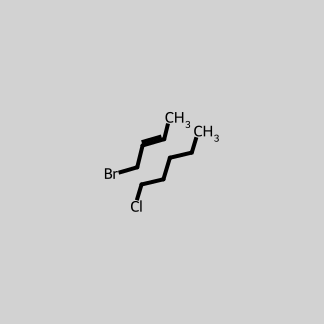 CC=CCBr.CCCCCCl